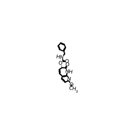 COc1ccc2c(n1)NC(=O)[C@@H](OC(=O)NCc1ccccc1)C=C2